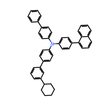 c1ccc(-c2ccc(N(c3ccc(-c4cccc(C5CCCCC5)c4)cc3)c3ccc(-c4cccc5ccccc45)cc3)cc2)cc1